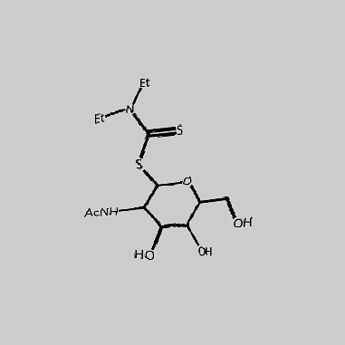 CCN(CC)C(=S)SC1OC(CO)C(O)C(O)C1NC(C)=O